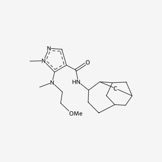 COCCN(C)c1c(C(=O)NC2CCC3CC4CC(C3)C2C4)cnn1C